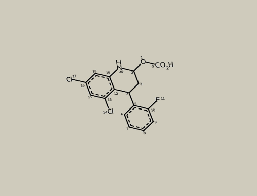 O=C(O)OC1CC(c2ccccc2F)c2c(Cl)cc(Cl)cc2N1